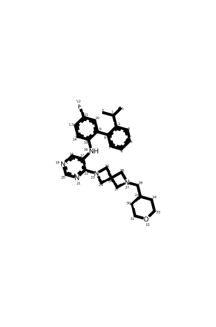 CC(C)c1ccccc1-c1cc(F)ccc1Nc1cncnc1N1CC2(CN(CC3CCOCC3)C2)C1